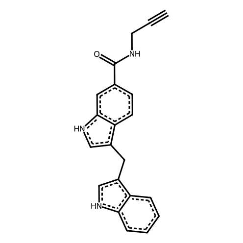 C#CCNC(=O)c1ccc2c(Cc3c[nH]c4ccccc34)c[nH]c2c1